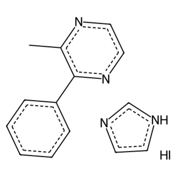 Cc1nccnc1-c1ccccc1.I.c1c[nH]cn1